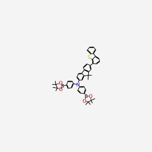 CC1(C)c2cc(-c3cccc4c3sc3ccccc34)ccc2-c2ccc(N(c3ccc(B4OC(C)(C)C(C)(C)O4)cc3)c3ccc(B4OC(C)(C)C(C)(C)O4)cc3)cc21